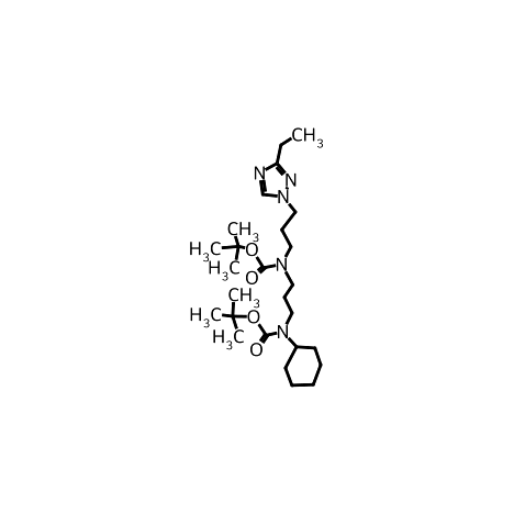 CCc1ncn(CCCN(CCCN(C(=O)OC(C)(C)C)C2CCCCC2)C(=O)OC(C)(C)C)n1